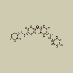 c1ccc(CCc2ccc(Oc3ccc(CCc4ccccc4)cc3)cc2)cc1